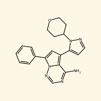 Nc1ncnn2c(-c3ccccc3)cc(-c3ccnn3C3CCOCC3)c12